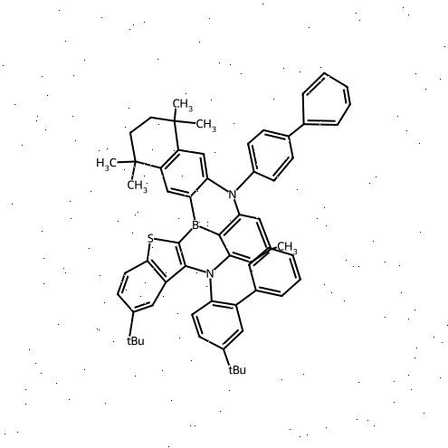 Cc1cc2c3c(c1)N(c1ccc(C(C)(C)C)cc1-c1ccccc1)c1c(sc4ccc(C(C)(C)C)cc14)B3c1cc3c(cc1N2c1ccc(-c2ccccc2)cc1)C(C)(C)CCC3(C)C